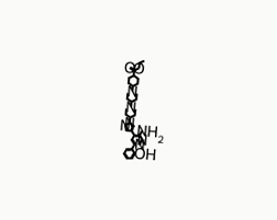 CCOC(=O)C1CCC(N2CCC(N3CCC(n4cc(-c5cc(-c6ccccc6O)nnc5N)cn4)CC3)CC2)CC1